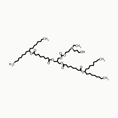 CCCCCCCCC(CCCCCCCC)OC(=O)CCCCCCC(=O)OCC(COC(=O)CCCCCCC(=O)OC(CCCCCCCC)CCCCCCCC)COC(=O)OCCCN(CC)CCCO